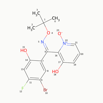 CC(C)(C)ON=C(c1cc(Br)c(F)cc1O)c1c(O)ccc[n+]1[O-]